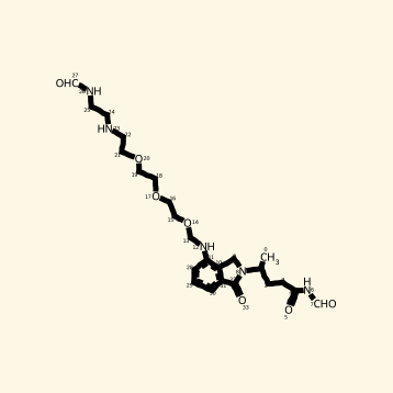 CC(CCC(=O)NC=O)N1Cc2c(NCOCCOCCOCCNCCNC=O)cccc2C1=O